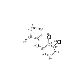 Fc1c[c]ccc1Oc1cccc(Cl)c1Cl